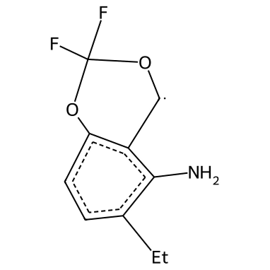 CCc1ccc2c(c1N)[CH]OC(F)(F)O2